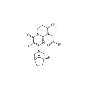 CC(C)C(=O)CN1c2nc(N3CC4CC[C@@H](C3)O4)c(F)c(=O)n2CCC1C(F)(F)F